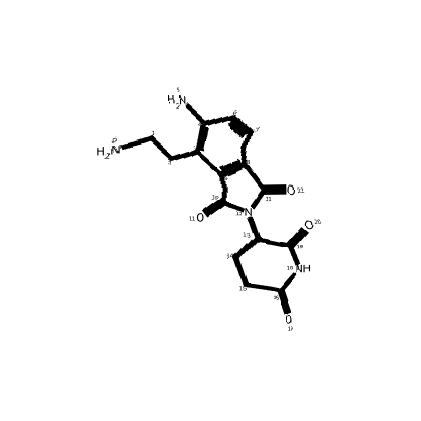 NCCc1c(N)ccc2c1C(=O)N(C1CCC(=O)NC1=O)C2=O